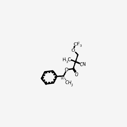 C[C@@H](OC(=O)C(C)(C#N)COC(F)(F)F)c1ccccc1